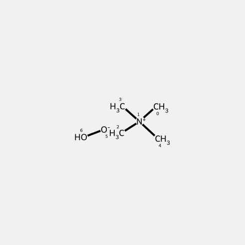 C[N+](C)(C)C.[O-]O